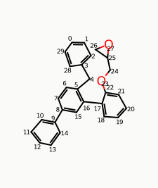 c1ccc(Cc2ccc(-c3ccccc3)cc2-c2ccccc2OCC2CO2)cc1